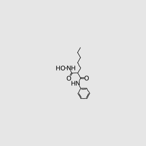 CCCCCC(C(=O)NO)C(=O)Nc1ccccc1